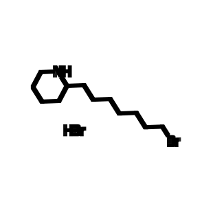 Br.BrCCCCCCCC1CCCCN1